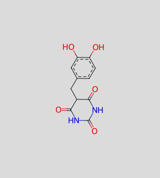 O=C1NC(=O)C(Cc2ccc(O)c(O)c2)C(=O)N1